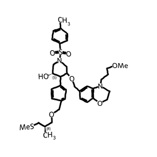 COCCCN1CCOc2ccc(COC3CN(S(=O)(=O)c4ccc(C)cc4)C[C@@H](O)C3c3ccc(COC[C@@H](C)CSC)cc3)cc21